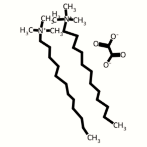 CCCCCCCCCCCC[N+](C)(C)C.CCCCCCCCCCCC[N+](C)(C)C.O=C([O-])C(=O)[O-]